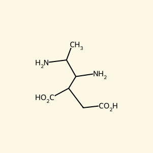 CC(N)C(N)C(CC(=O)O)C(=O)O